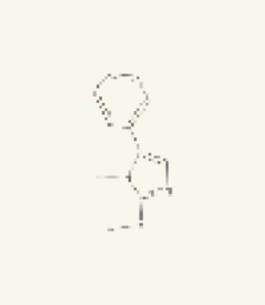 CSc1ncc(-c2ccccc2)n1C